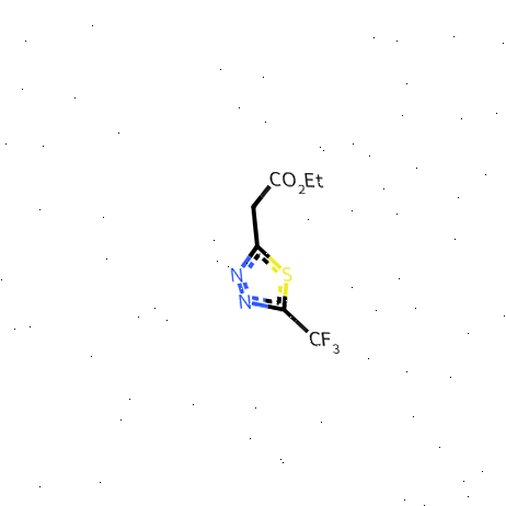 CCOC(=O)Cc1nnc(C(F)(F)F)s1